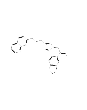 CCOC(=O)C=C(Cn1nnc(CCCc2ccc3cccnc3n2)n1)c1ccc2c(c1)OCO2